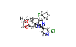 C[C@@H]1[C@H]2CCc3c(-c4ccccc4F)nc(-c4ccnc(Cl)c4)nc3[C@]2(C)CCC12OCCO2